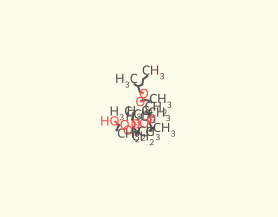 C=C(C)C(=O)OC(C)(C)C.C=C(C)C(=O)OCC(C)C.C=C(C)C(=O)OCC(CC)CCCC.C=CC(=O)O